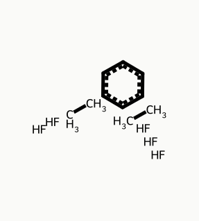 CC.CC.F.F.F.F.F.c1ccccc1